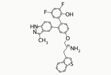 Cc1n[nH]c2ccc(-c3cc(OC[C@H](N)Cc4csc5ccccc45)ccc3-c3cc(F)cc(F)c3O)cc12